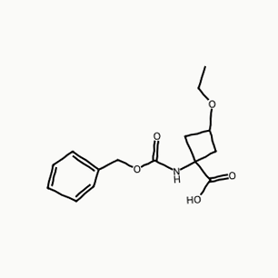 CCOC1CC(NC(=O)OCc2ccccc2)(C(=O)O)C1